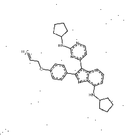 C=CCOc1ccc(-c2nc3c(NC4CCCC4)cccn3c2-c2ccnc(NC3CCCC3)n2)cc1